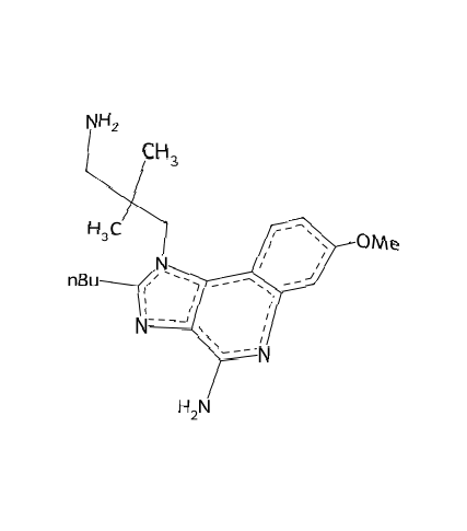 CCCCc1nc2c(N)nc3cc(OC)ccc3c2n1CC(C)(C)CN